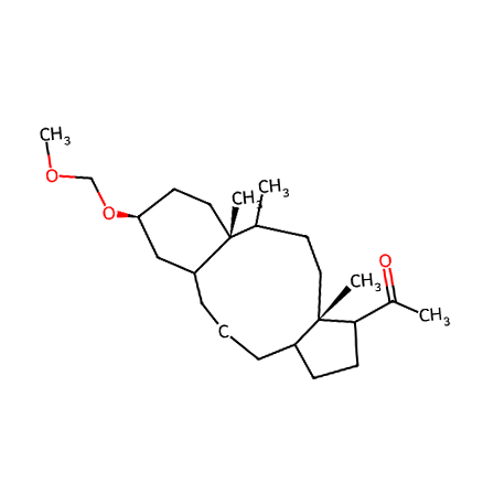 COCO[C@H]1CC[C@]2(C)C(C)CC[C@@]3(C)C(CCCC2C1)CCC3C(C)=O